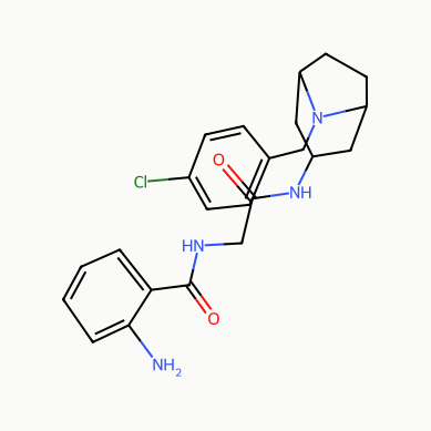 Nc1ccccc1C(=O)NCC(=O)NC1CC2CCC(C1)N2Cc1ccc(Cl)cc1